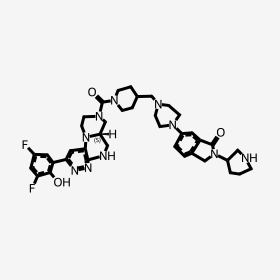 O=C(N1CCC(CN2CCN(c3ccc4c(c3)C(=O)N(C3CCCNC3)C4)CC2)CC1)N1CCN2c3cc(-c4cc(F)cc(F)c4O)nnc3NC[C@H]2C1